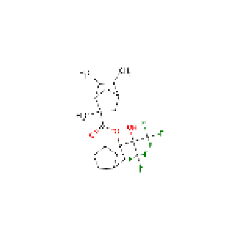 CC1C2CC(C1C)C(C)(C(=O)OC1(C(O)(C(F)(F)F)C(F)(F)F)CC3CCC1C3)C2